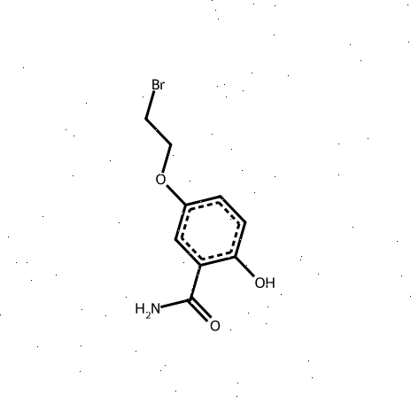 NC(=O)c1cc(OCCBr)ccc1O